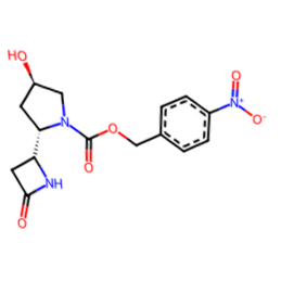 O=C1CC([C@@H]2C[C@@H](O)CN2C(=O)OCc2ccc([N+](=O)[O-])cc2)N1